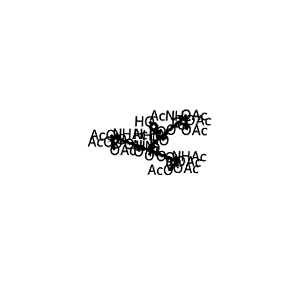 CC(=O)NC1C(OCCOCCNC(=O)CC[C@H](NC(=O)CC[C@H](NC(=O)C2CCC(O)CC2)C(=O)NCCOCCOC2OC(COC(C)=O)[C@H](OC(C)=O)C(OC(C)=O)C2NC(C)=O)C(=O)NCCOCCOC2OC(COC(C)=O)[C@H](OC(C)=O)C(OC(C)=O)C2NC(C)=O)OC(COC(C)=O)[C@H](OC(C)=O)C1OC(C)=O